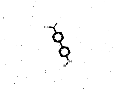 CCNc1ccc(-c2ccc([C@H](C)N)cc2)cc1